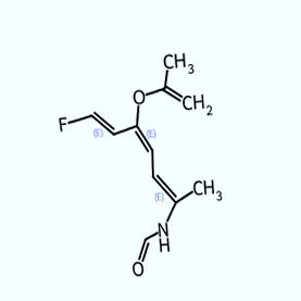 C=C(C)OC(/C=C/F)=C/C=C(\C)NC=O